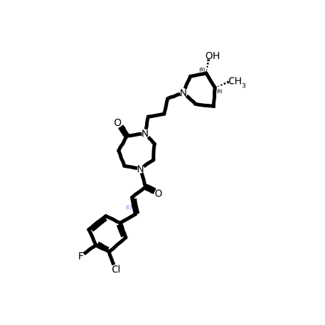 C[C@@H]1CCN(CCCN2CCN(C(=O)/C=C/c3ccc(F)c(Cl)c3)CCC2=O)C[C@@H]1O